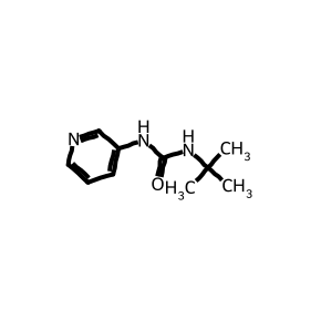 CC(C)(C)NC(=O)Nc1cccnc1